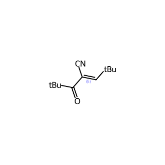 CC(C)(C)/C=C(\C#N)C(=O)C(C)(C)C